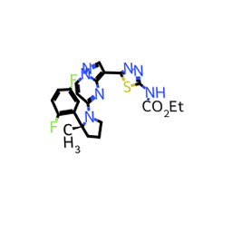 CCOC(=O)Nc1nnc(-c2cnn3ccc(N4CCC[C@]4(C)c4cc(F)ccc4F)nc23)s1